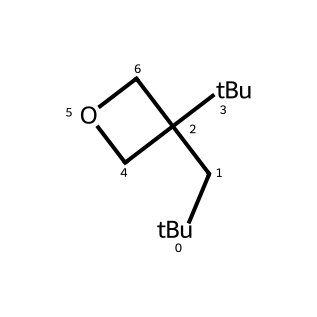 CC(C)(C)CC1(C(C)(C)C)COC1